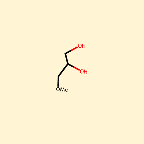 [CH2]OCC(O)CO